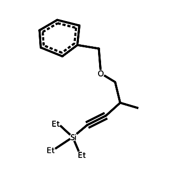 CC[Si](C#CC(C)COCc1ccccc1)(CC)CC